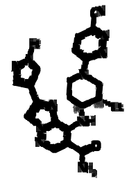 CC[C@H]1CN(c2ccc(C#N)nn2)CC[C@H]1Nc1c(C(N)=O)cnn2cc(-c3cnn(CC)c3)nc12